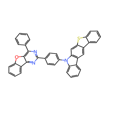 c1ccc(-c2nc(-c3ccc(-n4c5ccccc5c5cc6c(cc54)sc4ccccc46)cc3)nc3c2oc2ccccc23)cc1